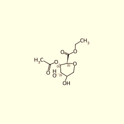 CCOC(=O)[C@H]1OCC(O)[C@H](O)[C@@H]1OC(C)=O